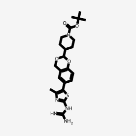 Cc1nc(NC(=N)N)sc1-c1ccc2c(c1)COC(C1CCN(C(=O)OC(C)(C)C)CC1)O2